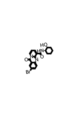 O=C(N[C@H]1CCCC[C@H]1O)c1cccn2c(=O)c3cc(Br)ccc3nc12